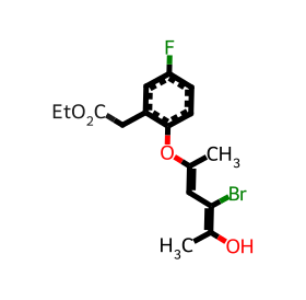 CCOC(=O)Cc1cc(F)ccc1O/C(C)=C/C(Br)=C(\C)O